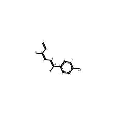 C=C/C(C)=C\C=C(/C)c1ccc(C)cc1